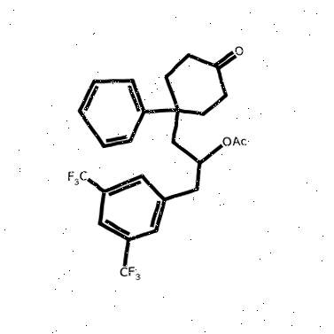 CC(=O)OC(Cc1cc(C(F)(F)F)cc(C(F)(F)F)c1)CC1(c2ccccc2)CCC(=O)CC1